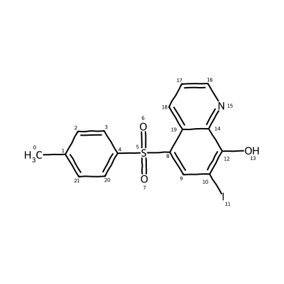 Cc1ccc(S(=O)(=O)c2cc(I)c(O)c3ncccc23)cc1